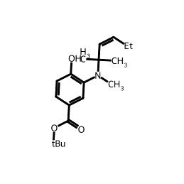 CC/C=C\C(C)(C)N(C)c1cc(C(=O)OC(C)(C)C)ccc1O